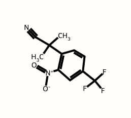 CC(C)(C#N)c1ccc(C(F)(F)F)cc1[N+](=O)[O-]